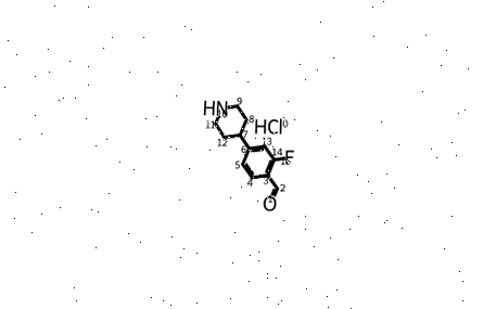 Cl.O=Cc1ccc(C2CCNCC2)cc1F